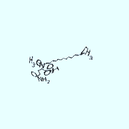 CCCCCCCCCC=CC=CN(C)C(CCC(N)=O)C(=O)O